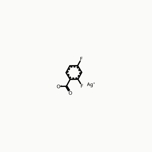 O=C([O-])c1ccc(F)cc1F.[Ag+]